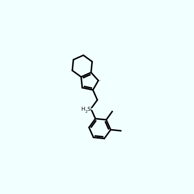 Cc1cccc([SiH2]CC2=CC3=C([CH]2)CCCC3)c1C